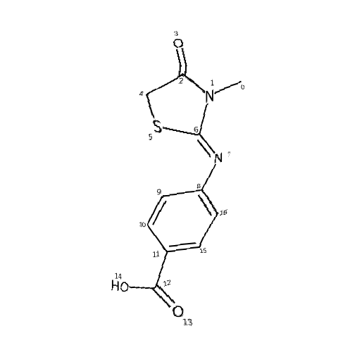 CN1C(=O)CS/C1=N\c1ccc(C(=O)O)cc1